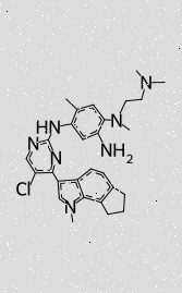 Cc1cc(N(C)CCN(C)C)c(N)cc1Nc1ncc(Cl)c(-c2cn(C)c3c4c(ccc23)CCC4)n1